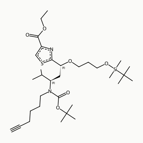 C#CCCCCN(C(=O)OC(C)(C)C)[C@H](C[C@@H](OCCCO[Si](C)(C)C(C)(C)C)c1nc(C(=O)OCC)cs1)C(C)C